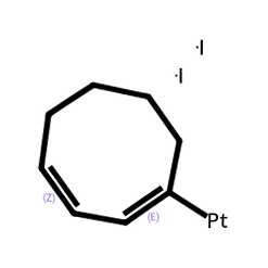 [I].[I].[Pt]/[C]1=C/C=C\CCCC1